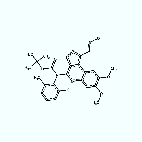 COc1cc2nc(N(C(=O)OC(C)(C)C)c3c(C)cccc3Cl)c3cnc(C=NO)n3c2cc1OC